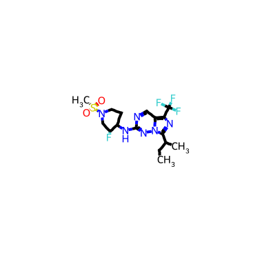 CCC(C)c1nc(C(F)(F)F)c2cnc(NC3CCN(S(C)(=O)=O)CC3F)nn12